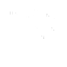 CCOC(=O)c1sc2nc(-c3ccccc3)cnc2c1N